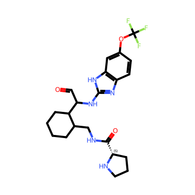 O=CC(Nc1nc2ccc(OC(F)(F)F)cc2[nH]1)C1CCCCC1CNC(=O)[C@@H]1CCCN1